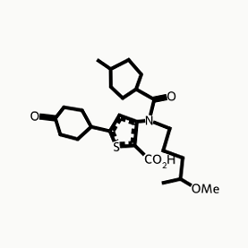 COC(C)CCCN(C(=O)C1CCC(C)CC1)c1cc(C2CCC(=O)CC2)sc1C(=O)O